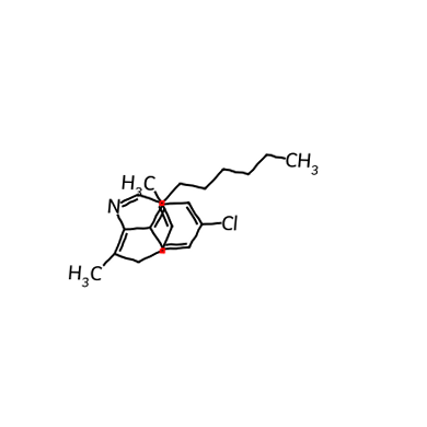 CCCCCCC1=C/CC/C(C)=C(c2ccc(Cl)cc2C)/N=C\1